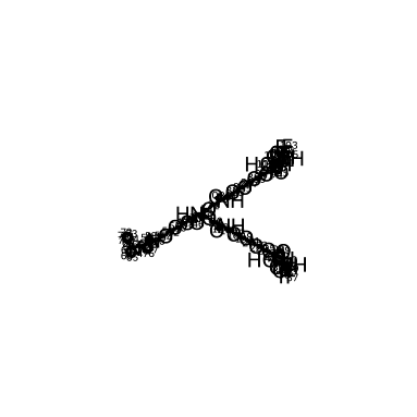 O=C(CCOCC(COCCC(=O)NCCOCCOCCOCCOC[C@@]12CO[C@@H](O1)[C@H](NC(=O)C(F)(F)F)[C@@H](O)[C@H]2O)NC(=O)COCCOCCOCCn1ccc2c(CN3CCCCC3c3ccccc3)cccc21)NCCOCCOCCOCCOC[C@@]12CO[C@@H](O1)[C@H](NC(=O)C(F)(F)F)[C@@H](O)[C@H]2O